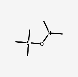 CN(C)O[Si](C)(C)C